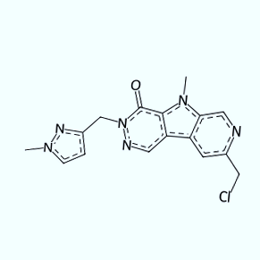 Cn1ccc(Cn2ncc3c4cc(CCl)ncc4n(C)c3c2=O)n1